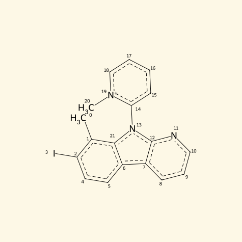 Cc1c(I)ccc2c3cccnc3n(-c3cccc[n+]3C)c12